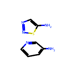 Nc1cccnc1.Nc1cnns1